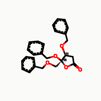 O=C1C[C@H](OCc2ccccc2)[C@](COCc2ccccc2)(OCc2ccccc2)O1